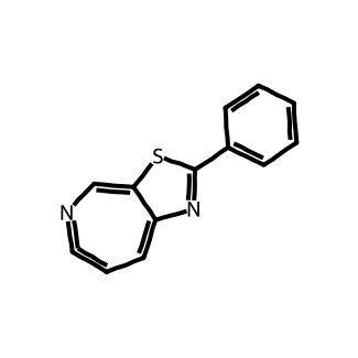 C1=CC=c2nc(-c3ccccc3)sc2=CN=1